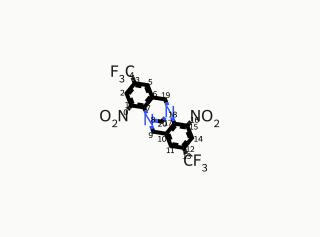 O=[N+]([O-])c1cc(C(F)(F)F)cc2c1N1Cc3cc(C(F)(F)F)cc([N+](=O)[O-])c3N(C2)C1